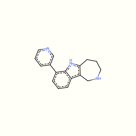 c1cncc(-c2cccc3c4c([nH]c23)CCCNC4)c1